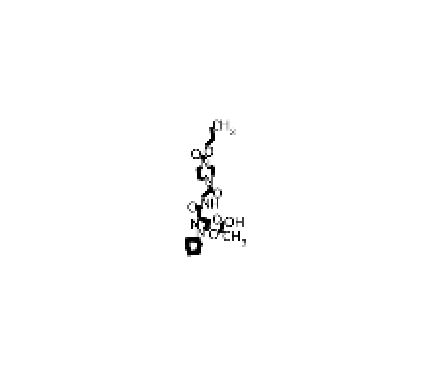 CCCCOC(=O)N1CCN(C(=O)CNC(=O)c2cc(O[C@H](C)C(=O)O)n(-c3ccccc3)n2)CC1